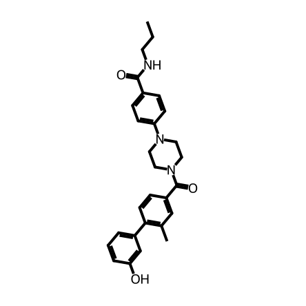 CCCNC(=O)c1ccc(N2CCN(C(=O)c3ccc(-c4cccc(O)c4)c(C)c3)CC2)cc1